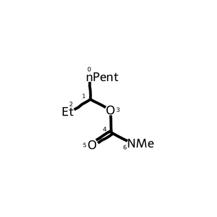 CCCCCC(CC)OC(=O)NC